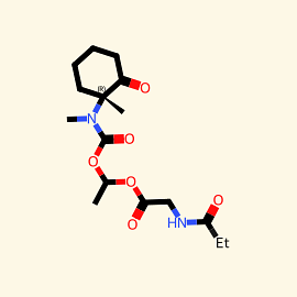 CCC(=O)NCC(=O)OC(C)OC(=O)N(C)[C@]1(C)CCCCC1=O